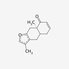 Cc1coc2c1CC1CC=CC(=O)[C@]1(C)C2